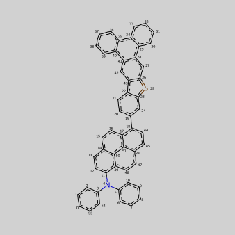 c1ccc(N(c2ccccc2)c2ccc3ccc4c(-c5ccc6c(c5)sc5cc7c8ccccc8c8ccccc8c7cc56)ccc5ccc2c3c54)cc1